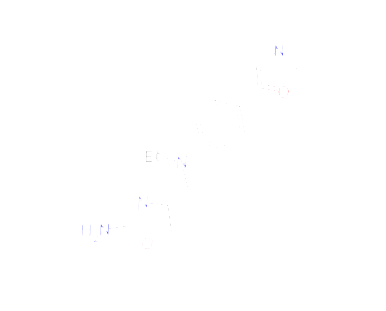 CCN(CC1COC(N)=N1)c1ccc(-c2cnco2)cc1